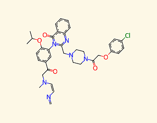 C=N/C=C\N(C)CC(=O)c1ccc(OC(C)C)c(-n2c(CN3CCN(C(=O)COc4ccc(Cl)cc4)CC3)nc3ccccc3c2=O)c1